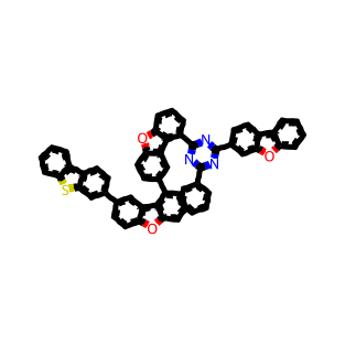 c1ccc(-c2nc(-c3ccc4c(c3)oc3ccccc34)nc(-c3cccc4oc5ccc(-c6cccc7oc8ccc(-c9ccc%10c(c9)sc9ccccc9%10)cc8c67)cc5c34)n2)cc1